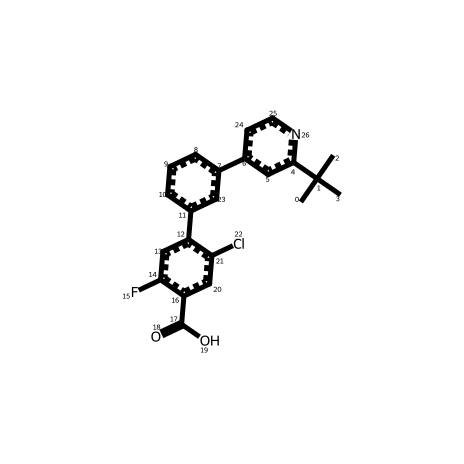 CC(C)(C)c1cc(-c2cccc(-c3cc(F)c(C(=O)O)cc3Cl)c2)ccn1